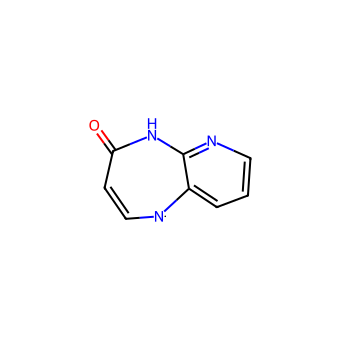 O=C1C=C[N]c2cccnc2N1